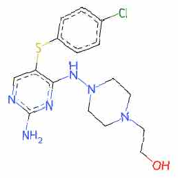 Nc1ncc(Sc2ccc(Cl)cc2)c(NN2CCN(CCO)CC2)n1